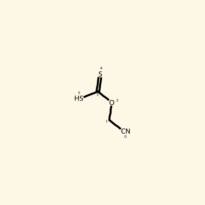 N#CCOC(=S)S